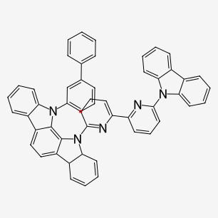 C1=CC2c3ccc4c5ccccc5n(-c5cccc(-c6ccccc6)c5)c4c3N(C3=NC(c4cccc(-n5c6ccccc6c6ccccc65)n4)=CCC3)C2C=C1